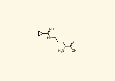 N=C(NCCC[C@@H](N)C(=O)O)C1CC1